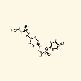 CCN(CCO)CCC1CCC(CCN(C)C(=O)Oc2ccc(Cl)cc2)CC1